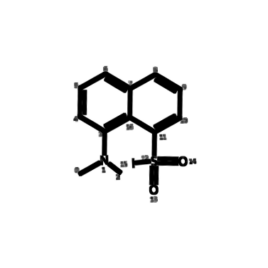 CN(C)c1cccc2cccc(S(=O)(=O)I)c12